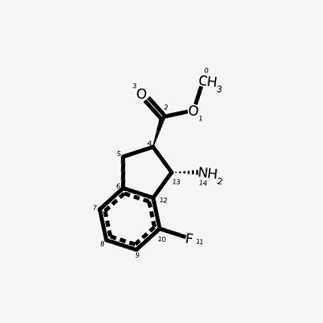 COC(=O)[C@@H]1Cc2cccc(F)c2[C@H]1N